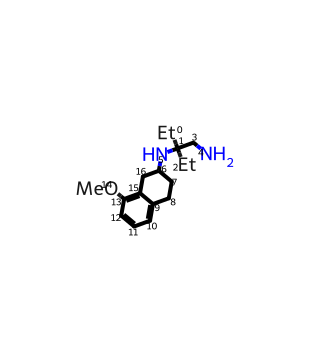 CCC(CC)(CN)NC1CCc2cccc(OC)c2C1